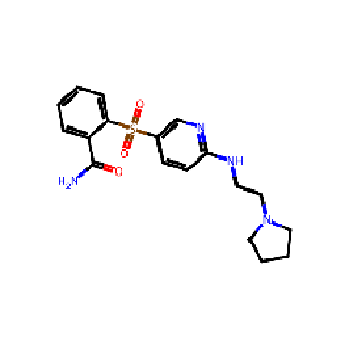 NC(=O)c1ccccc1S(=O)(=O)c1ccc(NCCN2CCCC2)nc1